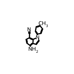 Cc1ccc(-n2ccc3c(N)ccc(C#N)c32)cc1